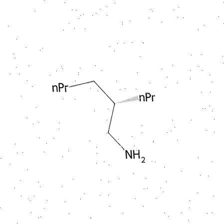 CCCC[C@@H](CN)CCC